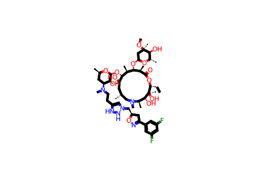 CC[C@H]1OC(=O)[C@H](C)[C@@H](O[C@H]2C[C@@](C)(OC)[C@@H](O)[C@H](C)O2)[C@H](C)[C@@H](O[C@@H]2O[C@H](C)C[C@H](N(C)CCC3=CN(C[C@H]4CC(c5cc(F)cc(F)c5)=NO4)NN3)[C@H]2O)[C@](C)(O)C[C@@H](C)CN(C)[C@H](C)[C@@H](O)[C@]1(C)O